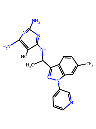 CC(Nc1nc(N)nc(N)c1C#N)c1nn(-c2cccnc2)c2cc(C(F)(F)F)ccc12